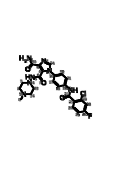 CN1CCN(NC(=O)c2c(C(N)=O)ncn2-c2ccc(NC(=O)c3ccc(F)cc3Cl)cc2)CC1